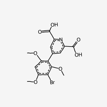 COc1cc(OC)c(-c2cc(C(=O)O)nc(C(=O)O)c2)c(OC)c1Br